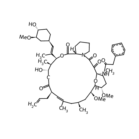 C=CC[C@@H]1/C=C(\C)C[C@H](C)C[C@H](OC)[C@H]2O[C@@](NC(=O)Cc3ccccc3)(C(=O)C(=O)N3CCCC[C@H]3C(=O)O[C@H](/C(C)=C/[C@@H]3CC[C@@H](O)[C@H](OC)C3)[C@H](C)[C@@H](O)CC1=O)[C@H](C)C[C@@H]2OC